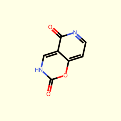 O=c1[nH]cc2c(=O)nccc-2o1